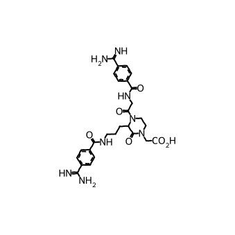 N=C(N)c1ccc(C(=O)NCCCC2C(=O)N(CC(=O)O)CCN2C(=O)CNC(=O)c2ccc(C(=N)N)cc2)cc1